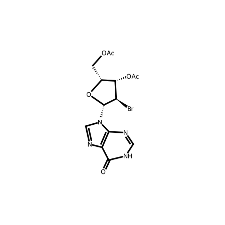 CC(=O)OC[C@H]1O[C@@H](n2cnc3c(=O)[nH]cnc32)[C@H](Br)[C@H]1OC(C)=O